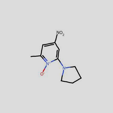 Cc1cc([N+](=O)[O-])cc(N2CCCC2)[n+]1[O-]